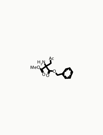 COC(=O)C(N)(CC(C)=O)C(=O)OCc1ccccc1